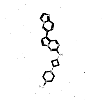 CN1CCN([C@H]2C[C@@H](Nc3ncc4c(-c5ccc6nccn6c5)ccn4n3)C2)CC1